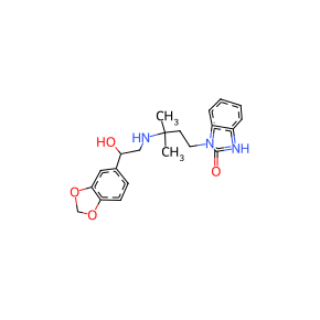 CC(C)(CCn1c(=O)[nH]c2ccccc21)NCC(O)c1ccc2c(c1)OCO2